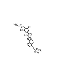 CCOC(CCc1cccc2c1CCc1sc(NC(=O)c3cc(Cl)c(/C=C(\C)C(=O)O)c(Cl)c3)nc1-2)C(C)(C)C